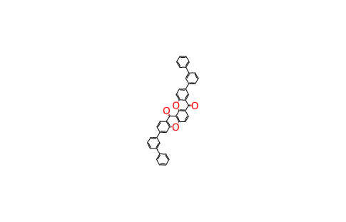 O=c1c2cc(-c3cccc(-c4ccccc4)c3)ccc2oc2c1ccc1oc3cc(-c4cccc(-c5ccccc5)c4)ccc3c(=O)c12